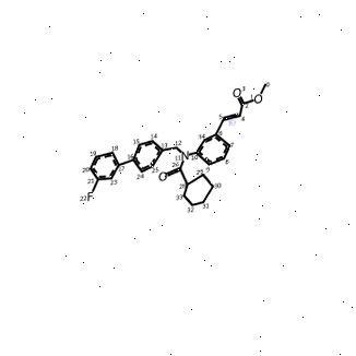 COC(=O)/C=C/c1cccc(N(Cc2ccc(-c3cccc(F)c3)cc2)C(=O)C2CCCCC2)c1